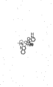 CC1(C)CCCN1c1nc2ccccc2cc1C(=O)NS(=O)(=O)c1ccc[nH]c1=O